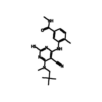 CNC(=O)c1ccc(C)c(Nc2nc(S)nc(N(C)CC(C)(C)C)c2C#N)c1